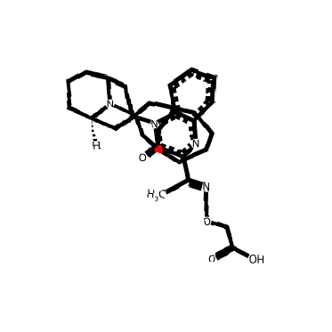 CC(=NOCC(=O)O)c1nc2ccccc2n(C2CC3CCC[C@H](C2)N3C2CC3CCCCC(C3)C2)c1=O